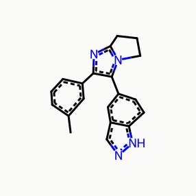 Cc1cccc(-c2nc3n(c2-c2ccc4[nH]ncc4c2)CCC3)c1